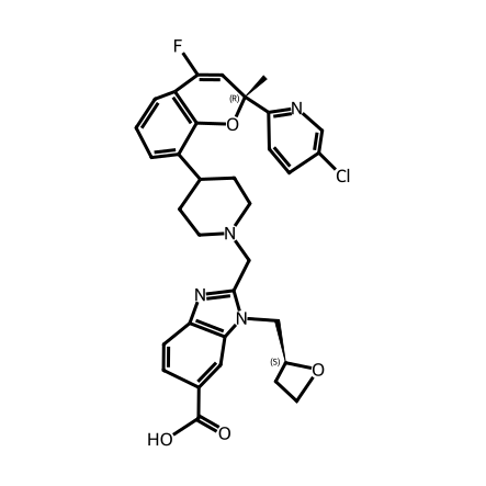 C[C@]1(c2ccc(Cl)cn2)C=C(F)c2cccc(C3CCN(Cc4nc5ccc(C(=O)O)cc5n4C[C@@H]4CCO4)CC3)c2O1